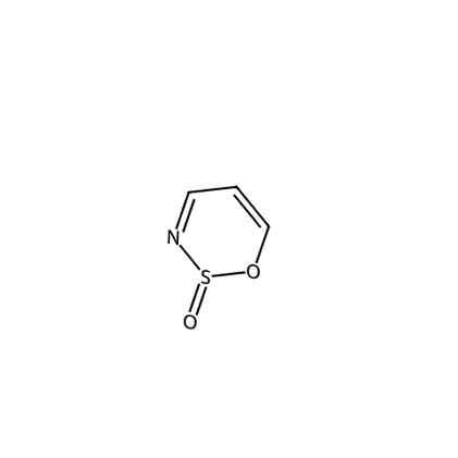 O=S1N=CC=CO1